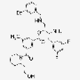 CCc1cccc(CNCC(OC(=O)c2cc(C)cc(C(=O)N3CCCCC3CCO)c2)C(N)Cc2cc(F)cc(F)c2)c1